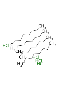 CCCCCCCC.CCCCCCCC.CCCCCCCC.CCCCCCCC.Cl.Cl.Cl.Cl